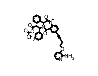 CN1C(=O)C(c2ccccc2)N(C(CC(=O)OC(=O)C(F)(F)F)c2ccccc2)C(=O)c2cc(C#CCCOc3cccnc3N)ccc21